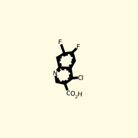 O=C(O)c1cnc2cc(F)c(F)cc2c1Cl